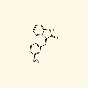 O=C1Nc2ccccc2C1=Cc1cccc([N+](=O)[O-])c1